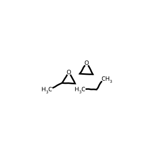 C1CO1.CC1CO1.CCC